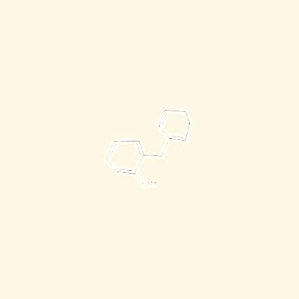 CNc1ccccc1CC1=CCCC=C1